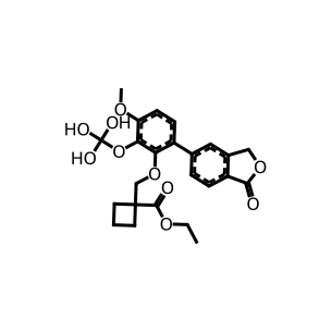 CCOC(=O)C1(COc2c(-c3ccc4c(c3)COC4=O)ccc(OC)c2OC(O)(O)O)CCC1